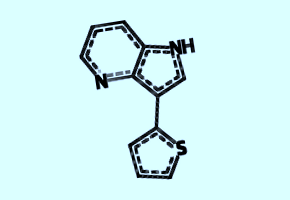 c1csc(-c2c[nH]c3cccnc23)c1